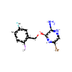 Nc1ncc(Br)nc1OCc1cc(F)ccc1I